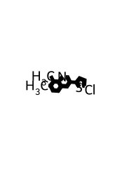 Cc1ccc2cc(-c3ccc(Cl)s3)cnc2c1C